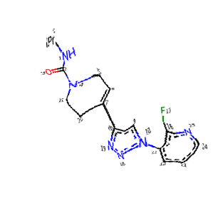 CC(C)NC(=O)N1CC=C(c2cn(-c3cccnc3F)nn2)CC1